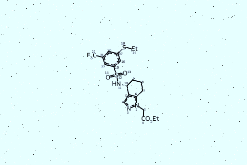 CCOC(=O)Cn1ncc2c1CCC[C@H]2NS(=O)(=O)c1cc(SCC)cc(C(F)(F)F)c1